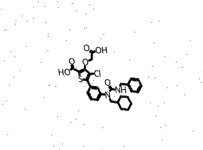 O=C(O)COc1c(C(=O)O)sc(-c2cccc(N(CC3CCCCC3)C(=O)NCc3ccccc3)c2)c1Cl